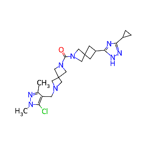 Cc1nn(C)c(Cl)c1CN1CC2(C1)CN(C(=O)N1CC3(CC(c4nc(C5CC5)n[nH]4)C3)C1)C2